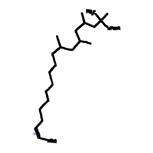 CCCCCCCC/C=C\CCCCCCCCC(C)CC(C)CC(C)CC(C)(CCCCC)C(=O)O